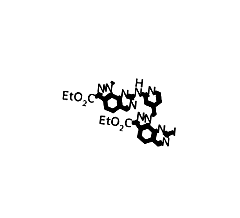 CCOC(=O)c1nn(C)c2c1CCc1cnc(Nc3cc(Cn4nc(C(=O)OCC)c5c4-c4nc(I)ncc4CC5)ccn3)nc1-2